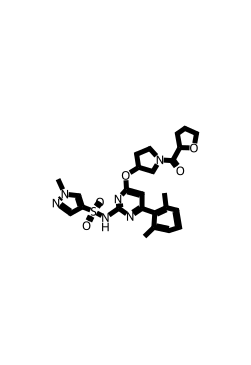 Cc1cccc(C)c1-c1cc(OC2CCN(C(=O)C3CCCO3)C2)nc(NS(=O)(=O)c2cnn(C)c2)n1